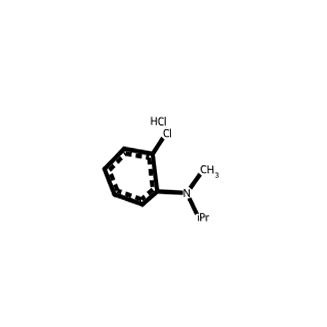 CC(C)N(C)c1ccccc1Cl.Cl